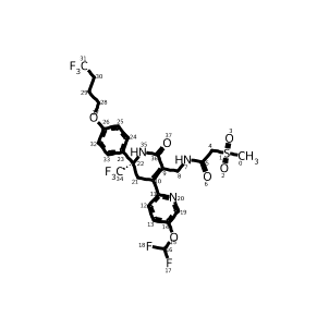 CS(=O)(=O)CC(=O)NCC1=C(c2ccc(OC(F)F)cn2)C[C@](c2ccc(OCCCC(F)(F)F)cc2)(C(F)(F)F)NC1=O